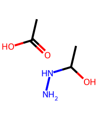 CC(=O)O.CC(O)NN